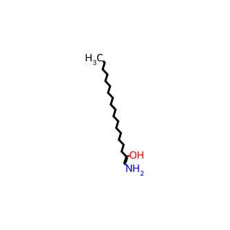 CCCCCCCCCCCCCCCCCC(O)=CN